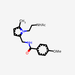 COc1ccc(C(=O)NCc2ccc(C)n2CCNC(C)=O)cc1